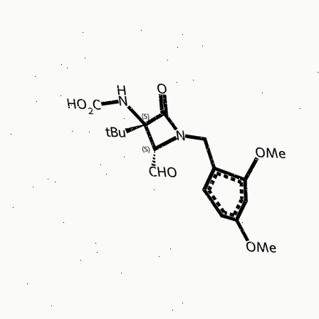 COc1ccc(CN2C(=O)[C@](NC(=O)O)(C(C)(C)C)[C@H]2C=O)c(OC)c1